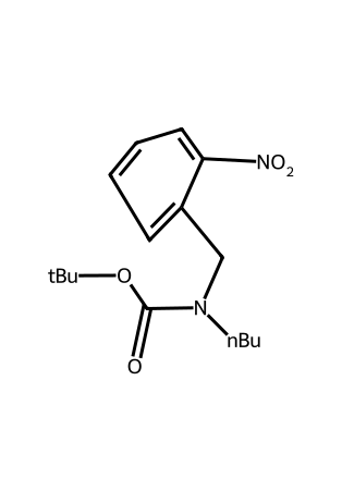 CCCCN(Cc1ccccc1[N+](=O)[O-])C(=O)OC(C)(C)C